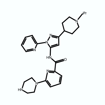 CC(C)N1CCC(c2cc(NC(=O)c3cccc(N4CCNCC4)n3)n(-c3ccccn3)n2)CC1